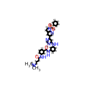 CN(C)C/C=C/C(=O)Nc1cccc(C(=O)Nc2cccc(Nc3cc(-c4cnc5c(ccn5S(=O)(=O)c5ccccc5)c4)ncn3)c2)c1